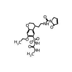 CCOc1cc2c(cc1S(=O)(=O)NC(=O)NC)C(CCNC(=O)N1CC=CC1=O)CCO2